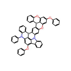 c1ccc(Oc2cc3c4c(c2)Oc2cc5c(cc2B4c2ccccc2O3)B2c3ccccc3N(c3ccccc3)c3cc(Oc4ccccc4)c4c6ccccc6n-5c4c32)cc1